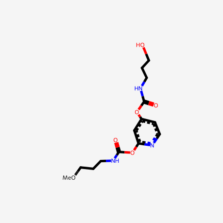 COCCCNC(=O)Oc1cc(OC(=O)NCCCO)ccn1